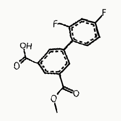 COC(=O)c1cc(C(=O)O)cc(-c2ccc(F)cc2F)c1